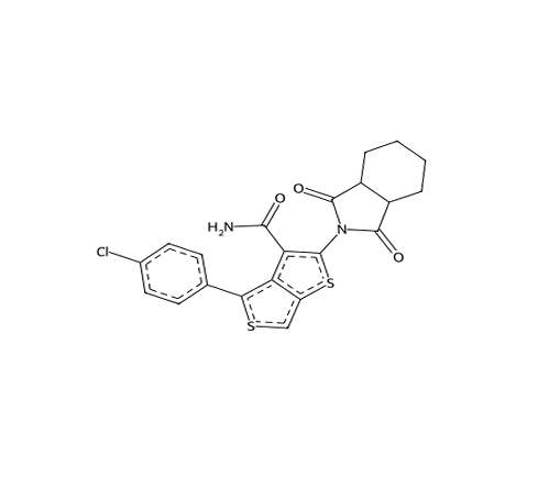 NC(=O)c1c(N2C(=O)C3CCCCC3C2=O)sc2csc(-c3ccc(Cl)cc3)c12